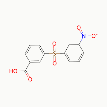 O=C(O)c1cccc(S(=O)(=O)c2cccc([N+](=O)[O-])c2)c1